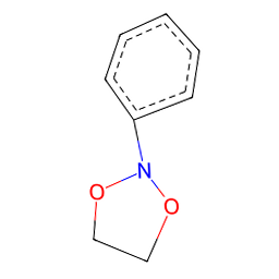 c1ccc(N2OCCO2)cc1